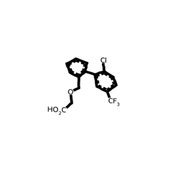 O=C(O)COCc1ccccc1-c1cc(C(F)(F)F)ccc1Cl